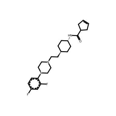 O=C(N[C@H]1CC[C@H](CCN2CCN(c3ccc(F)cc3F)CC2)CC1)C1CC=CC1